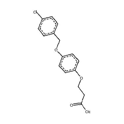 O=C(O)CCOc1ccc(OCc2ccc(Cl)cc2)cc1